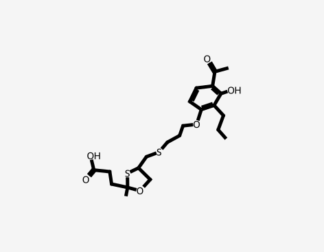 CCCc1c(OCCCSCC2COC(C)(CCC(=O)O)S2)ccc(C(C)=O)c1O